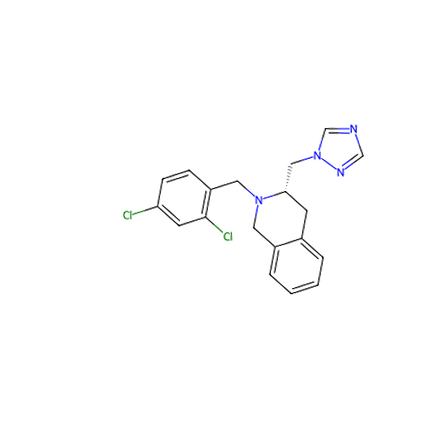 Clc1ccc(CN2Cc3ccccc3C[C@H]2Cn2cncn2)c(Cl)c1